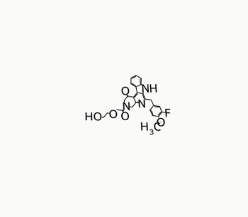 COc1ccc(Cc2nc3c(c4c2[nH]c2ccccc24)C(=O)CN(C(=O)COCCO)C3)cc1F